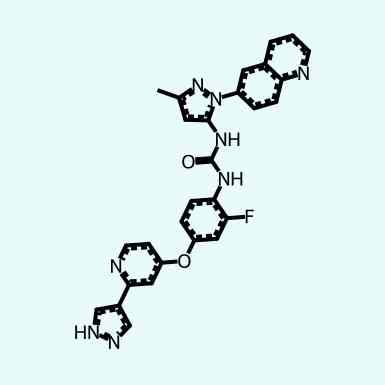 Cc1cc(NC(=O)Nc2ccc(Oc3ccnc(-c4cn[nH]c4)c3)cc2F)n(-c2ccc3ncccc3c2)n1